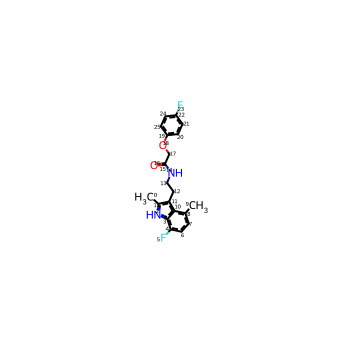 Cc1[nH]c2c(F)ccc(C)c2c1CCNC(=O)COc1ccc(F)cc1